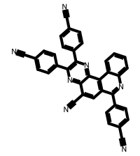 N#Cc1ccc(-c2nc3c(C#N)cc4c(-c5ccc(C#N)cc5)nc5ccccc5c4c3nc2-c2ccc(C#N)cc2)cc1